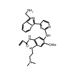 C=CC(=O)Nc1cc(Nc2nccc(-c3nc(CN)c4ccccn34)n2)c(OC)cc1N(C)CCN(C)C